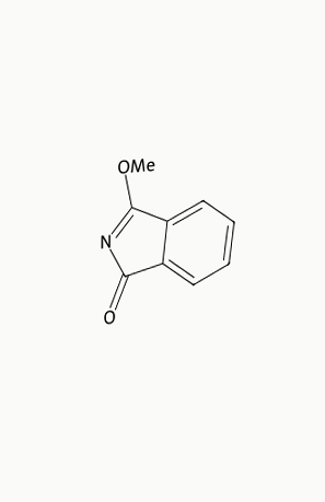 COC1=NC(=O)c2ccccc21